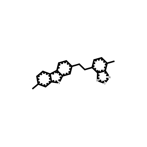 Cc1ccc2c(c1)sc1cc(CCc3ccc(C)c4nsnc34)ccc12